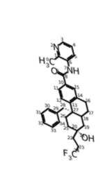 Cc1ncccc1NC(=O)c1ccc2c(c1)CCC1C[C@@](O)(CCC(F)(F)F)CC[C@@]21Cc1ccccc1